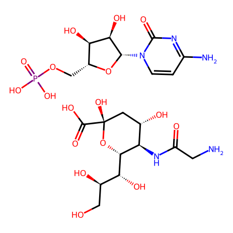 NCC(=O)N[C@H]1[C@H]([C@H](O)[C@H](O)CO)O[C@](O)(C(=O)O)C[C@@H]1O.Nc1ccn([C@@H]2O[C@H](COP(=O)(O)O)[C@@H](O)[C@H]2O)c(=O)n1